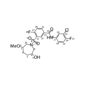 COC1CCC(O)CN(S(=O)(=O)c2cc(C(=O)Nc3ccc(F)c(Cl)c3)ccc2F)C1